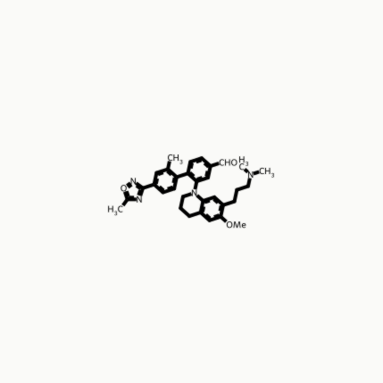 COc1cc2c(cc1CCCN(C)C)N(c1cc(C=O)ccc1-c1ccc(-c3noc(C)n3)cc1C)CCC2